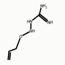 C=CCONNC(=N)N